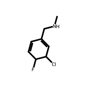 CNCC1=CC(Cl)C(F)C=C1